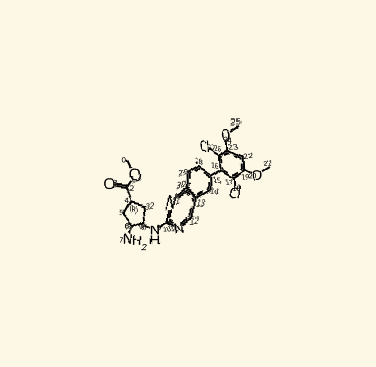 COC(=O)[C@@H]1C[C@H](N)[C@H](Nc2ncc3cc(-c4c(Cl)c(OC)cc(OC)c4Cl)ccc3n2)C1